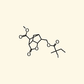 CCC(C)(I)C(=O)OCC1C2CC3C1OC(=O)C3C2C(=O)OC